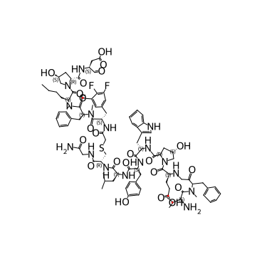 CCCC[C@@H](C(=O)N1C[C@@H](O)C[C@@H]1C(=O)N[C@H](C=O)CC(=O)O)N(C)C(=O)[C@H](Cc1ccccc1)N(C)C(=O)[C@H](Cc1cc(F)c(F)c(F)c1)NC(=O)CSC[C@H](NC(=O)[C@H](CC(C)C)NC(=O)[C@H](Cc1ccc(O)cc1)NC(=O)[C@H](Cc1c[nH]c2ccccc12)NC(=O)[C@H]1C[C@H](O)CN1C(=O)[C@H](CCC(=O)O)NCC(=O)C(Cc1ccccc1)N(C)C(=O)[C@@H](N)C(C)C)C(=O)NCC(N)=O